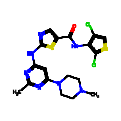 Cc1nc(Nc2ncc(C(=O)Nc3c(Cl)csc3Cl)s2)cc(N2CCN(C)CC2)n1